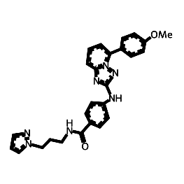 COc1ccc(-c2cccc3nc(Nc4ccc(C(=O)NCCCn5cccn5)cc4)nn23)cc1